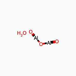 O.[O]=[Al][O][Al]=[O]